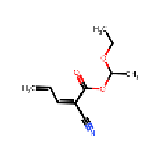 C=CC=C(C#N)C(=O)OC(C)OCC